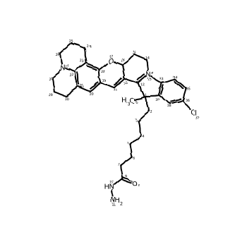 CC1(CCCCCCC(=O)NN)C2=[N+](CCC3Oc4c(cc5c6c4CCCN6CCC5)C=C23)c2ccc(Cl)cc21